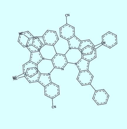 N#Cc1ccc2c(c1)c1cc(C#N)ccc1n2-c1nc(-n2c3ccc(-c4ccccc4)cc3c3cc(-c4ccccc4)ccc32)c(-n2c3ccc(C#N)cc3c3cc(C#N)ccc32)c(-c2cccc3c2oc2ccccc23)c1-n1c2ccc(C#N)cc2c2cc(C#N)ccc21